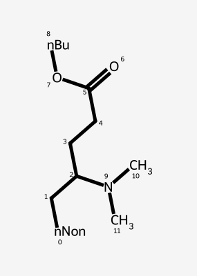 CCCCCCCCCCC(CCC(=O)OCCCC)N(C)C